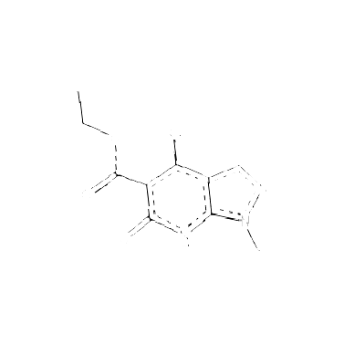 CCOC(=O)c1c(Cl)c2cnn(C)c2[nH]c1=O